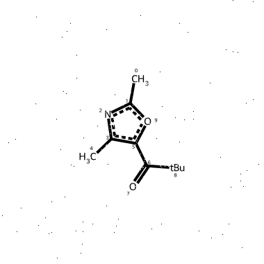 Cc1nc(C)c(C(=O)C(C)(C)C)o1